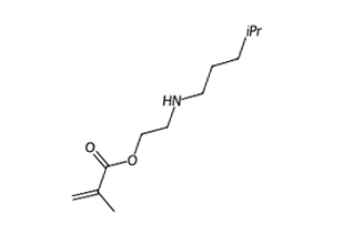 C=C(C)C(=O)OCCNCCCC(C)C